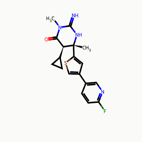 CN1C(=N)N[C@](C)(c2cc(-c3ccc(F)nc3)cs2)[C@@H](C2CC2)C1=O